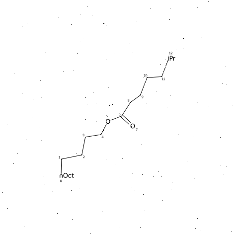 CCCCCCCCCCCCOC(=O)CCCCC(C)C